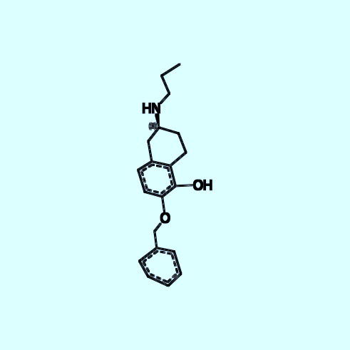 CCCN[C@H]1CCc2c(ccc(OCc3ccccc3)c2O)C1